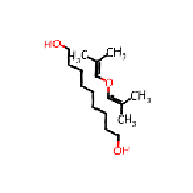 CC(C)=COC=C(C)C.OCCCCCCCCCO